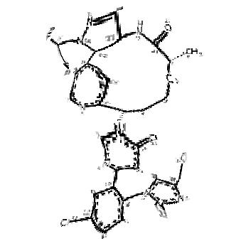 C[C@@H]1CCC[C@H](n2cnc(-c3cc(Cl)ccc3-n3cc(Cl)nn3)cc2=O)c2cc(ccn2)C2C(C=NN2C(F)F)NC1=O